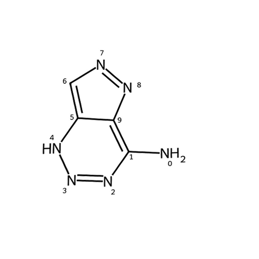 Nc1nn[nH]c2cnnc1-2